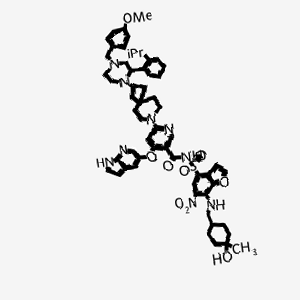 COc1ccc(CN2CCN(C3CC4(CCN(c5cc(Oc6cnc7[nH]ccc7c6)c(C(=O)NS(=O)(=O)c6cc([N+](=O)[O-])c(NCC7CCC(C)(O)CC7)c7occc67)cn5)CC4)C3)C(c3ccccc3C(C)C)C2)cc1